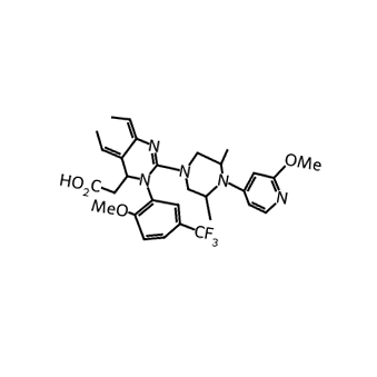 C/C=C1\C(=C/C)N=C(N2CC(C)N(c3ccnc(OC)c3)C(C)C2)N(c2cc(C(F)(F)F)ccc2OC)C1CC(=O)O